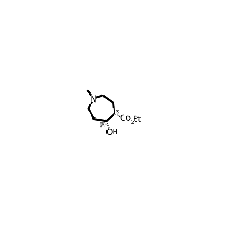 CCOC(=O)[C@H]1CCN(C)CC[C@H]1O